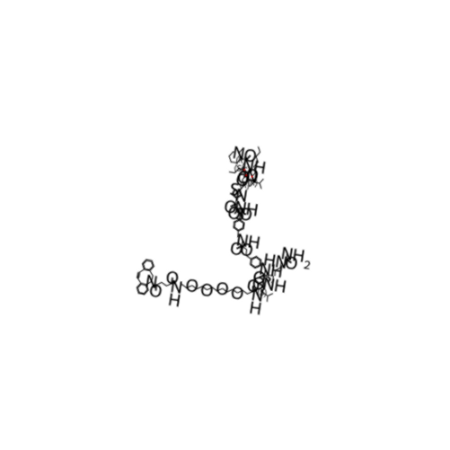 CCCCCCN(C(=O)[C@@H](NC(=O)[C@H]1CCCCN1C)[C@@H](C)CC)[C@H](C[C@@H](OC(C)=O)c1nc(C(=O)NS(=O)(=O)c2ccc(CNC(=O)OCc3ccc(NC(=O)[C@H](CCCNC(N)=O)NC(=O)[C@@H](NC(=O)CCOCCOCCOCCOCCNC(=O)CCC(=O)N4Cc5ccccc5C#Cc5ccccc54)C(C)C)cc3)cc2)cs1)C(C)C